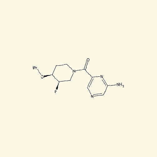 CC(C)O[C@H]1CCN(C(=O)c2cncc(N)n2)C[C@H]1F